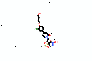 CC(CCn1ccc(-c2ccc(OCCCCO)c(Cl)c2)cc1=O)(C(=O)NO)S(C)(=O)=O